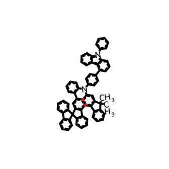 CC1(C)c2ccccc2-c2ccc(N(c3ccc(-c4cccc5c4c4ccccc4n5-c4ccccc4)cc3)c3ccccc3-c3ccc4c(c3)C3(c5ccccc5-c5ccccc53)c3ccccc3-4)cc21